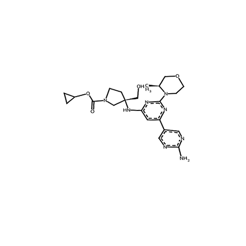 C[C@H]1COCCN1c1nc(N[C@@]2(CO)CCN(C(=O)OC3CC3)C2)cc(-c2cnc(N)nc2)n1